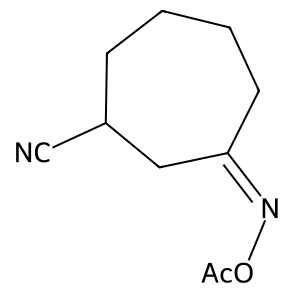 CC(=O)ON=C1CCCCC(C#N)C1